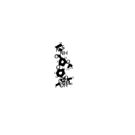 COC(C)O[PH](O)(OC(C)O)c1ccc(Oc2cc(OC(C)C)cc(C(=O)Nc3nccs3)c2)cc1